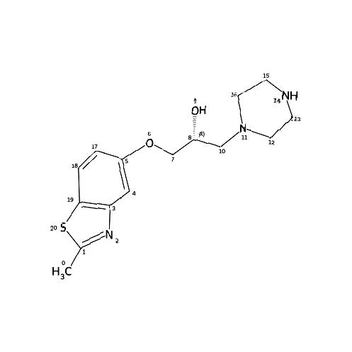 Cc1nc2cc(OC[C@H](O)CN3C[CH]NCC3)ccc2s1